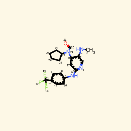 CNc1cnc(Nc2ccc(C(F)(F)F)cc2)cc1N(C=O)C1CCCC1